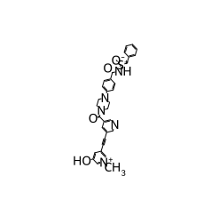 C[n+]1cc(O)cc(C#Cc2cncc(C(=O)N3CCN(c4ccc(C(=O)N[S+]([O-])Cc5ccccc5)cc4)CC3)c2)c1